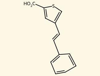 O=C(O)c1cc(C=Cc2ccccc2)cs1